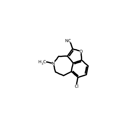 CN1CCc2c(Cl)ccc3oc(C#N)c(c23)C1